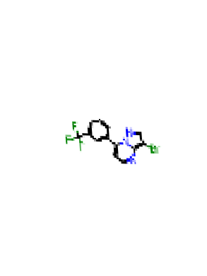 FC(F)(F)c1cccc(-c2ccnc3c(Br)cnn23)c1